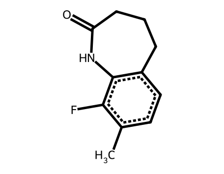 Cc1ccc2c(c1F)NC(=O)CCC2